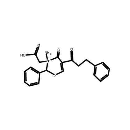 N[N+]1(CC(=O)O)C(=O)C(C(=O)CCc2ccccc2)=CSC1c1ccccc1